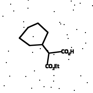 CCOC(=O)C(C(=O)O)C1CCCCC1